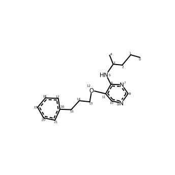 CCCC(C)Nc1ncncc1OCCCc1ccccc1